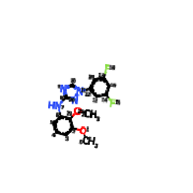 COc1cccc(Nc2ncn(-c3cc(F)cc(F)c3)n2)c1OC